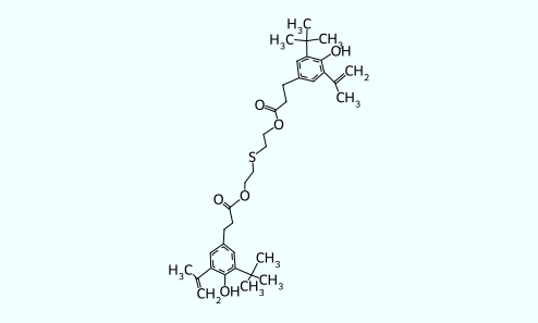 C=C(C)c1cc(CCC(=O)OCCSCCOC(=O)CCc2cc(C(=C)C)c(O)c(C(C)(C)C)c2)cc(C(C)(C)C)c1O